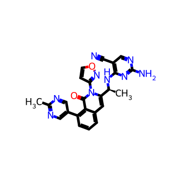 Cc1ncc(-c2cccc3cc([C@H](C)Nc4nc(N)ncc4C#N)n(-c4ccon4)c(=O)c23)cn1